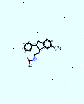 CCC(=O)NCCC1c2cc(OC)ccc2CC1c1ccccc1